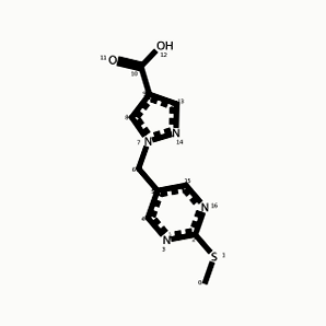 CSc1ncc(Cn2cc(C(=O)O)cn2)cn1